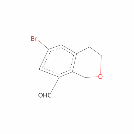 O=Cc1cc(Br)cc2c1COCC2